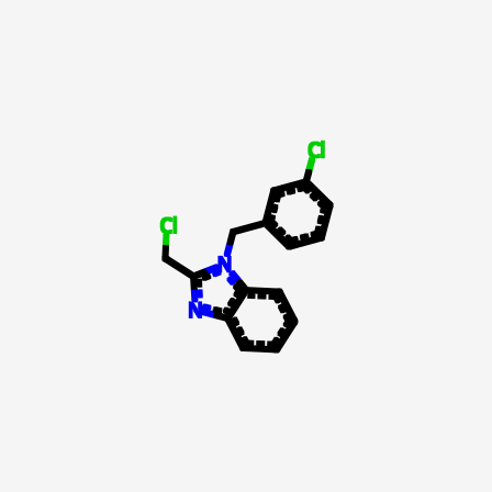 ClCc1nc2ccccc2n1Cc1cccc(Cl)c1